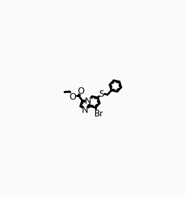 CCOC(=O)c1cnc2c(Br)cc(SCc3ccccc3)cn12